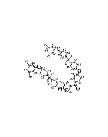 Cc1cc(C)cc(Oc2ccc(C(C)(C)c3ccc(Oc4ccc(C(=O)c5ccc(Oc6ccc(C(C)(C)c7ccc(Oc8cc(C)cc(C)c8)cc7)cc6)cc5)cc4)cc3)cc2)c1